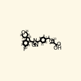 O=C(O)C1CN(Cc2ccc(-c3noc(CCC4(c5ccc(F)cc5)CCOCC4)n3)cc2)C1